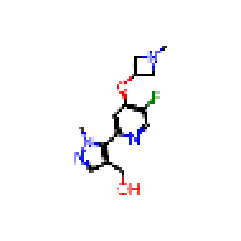 CN1CC(Oc2cc(-c3c(CO)cnn3C)ncc2F)C1